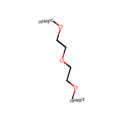 CCCCCCCOCCOCCOCCCCCCC